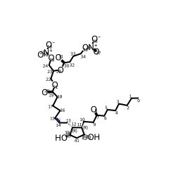 CCCCCCCC(=O)CC[C@@H]1[C@@H](C/C=C\CCCC(=O)OCC(CO[N+](=O)[O-])OC(=O)CCCO[N+](=O)[O-])[C@@H](O)C[C@H]1O